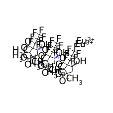 CC1(C(=O)[O-])C/C(=C/O)C(C(=O)[O-])(C(F)(F)C(F)(F)C(F)(F)F)C1(C)C.CC1(C(=O)[O-])C/C(=C/O)C(C(=O)[O-])(C(F)(F)C(F)(F)C(F)(F)F)C1(C)C.CC1(C(=O)[O-])C/C(=C/O)C(C(=O)[O-])(C(F)(F)C(F)(F)C(F)(F)F)C1(C)C.[Eu+3].[Eu+3]